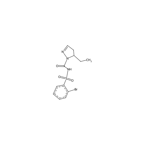 CCC1CC=NN1C(=O)NS(=O)(=O)c1ccccc1Br